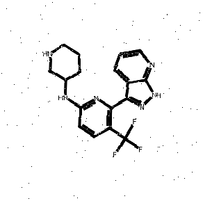 FC(F)(F)c1ccc(NC2CCCNC2)nc1-c1n[nH]c2ncccc12